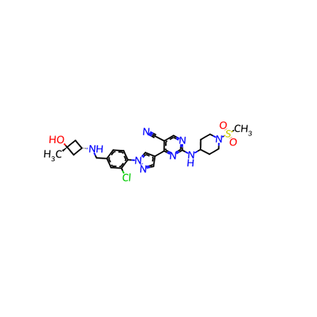 CS(=O)(=O)N1CCC(Nc2ncc(C#N)c(-c3cnn(-c4ccc(CN[C@H]5C[C@@](C)(O)C5)cc4Cl)c3)n2)CC1